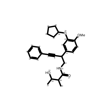 COc1ccc(C(C#Cc2ccccc2)CNC(=O)C(C)C(C)O)cc1OC1CCCC1